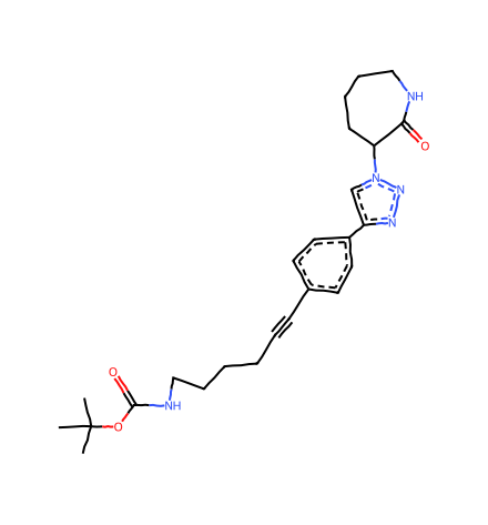 CC(C)(C)OC(=O)NCCCCC#Cc1ccc(-c2cn(C3CCCCNC3=O)nn2)cc1